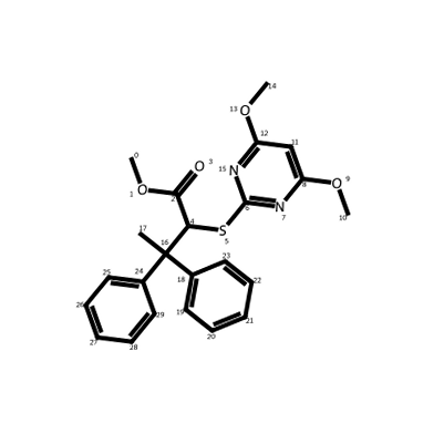 COC(=O)C(Sc1nc(OC)cc(OC)n1)C(C)(c1ccccc1)c1ccccc1